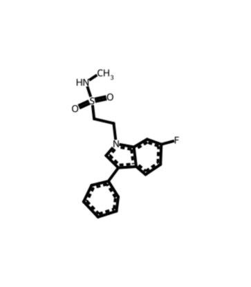 CNS(=O)(=O)CCn1cc(-c2ccccc2)c2ccc(F)cc21